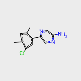 Cc1cc(C)c(-c2cnc(N)cn2)cc1Cl